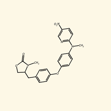 CN(c1ccc(Oc2ccc(CC3COC(=O)N3C)cc2)cc1)c1ccc([N+](=O)[O-])cn1